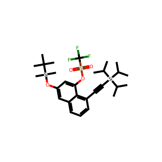 CC(C)[Si](C#Cc1cccc2cc(O[Si](C)(C)C(C)(C)C)cc(OS(=O)(=O)C(F)(F)F)c12)(C(C)C)C(C)C